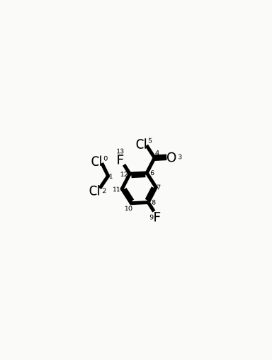 ClCCl.O=C(Cl)c1cc(F)ccc1F